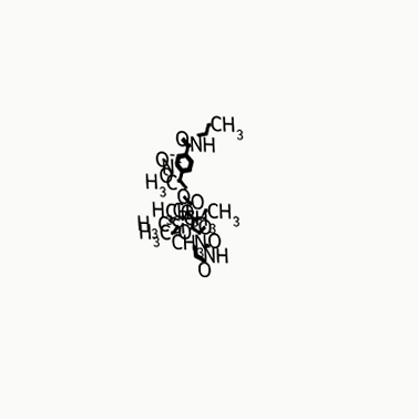 CCCCNC(=O)c1ccc(C(C)COC(=O)OC2[C@@H](CC)O[C@@H](n3ccc(=O)[nH]c3=O)[C@H]2O[Si](C(C)C)(C(C)C)C(C)C)c([N+](=O)[O-])c1